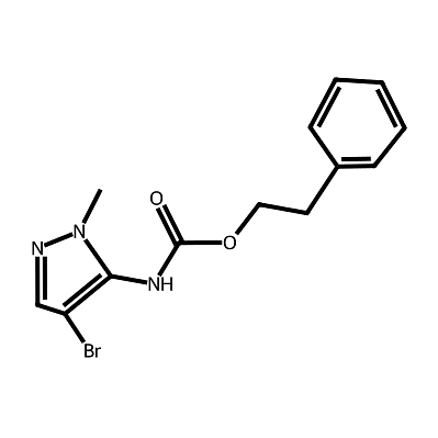 Cn1ncc(Br)c1NC(=O)OCCc1ccccc1